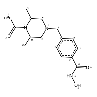 CCCC(=O)N1C(C)CN(Cc2ccc(C(=O)NO)cc2)CC1C